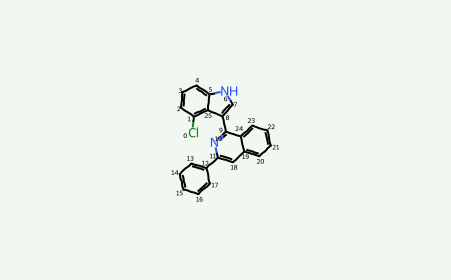 Clc1cccc2[nH]cc(-c3nc(-c4ccccc4)cc4ccccc34)c12